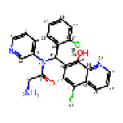 NCC(=O)N(c1cccnc1)C(c1ccccc1Cl)c1cc(Cl)c2cccnc2c1O